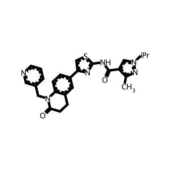 Cc1nn(C(C)C)cc1C(=O)Nc1nc(-c2ccc3c(c2)CCC(=O)N3Cc2cccnc2)cs1